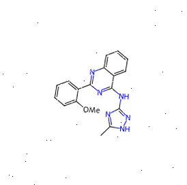 COc1ccccc1-c1nc(Nc2n[nH]c(C)n2)c2ccccc2n1